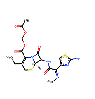 COCC1=C(C(=O)OCOC(=O)OCC(C)C)N2C(=O)C(NC(=O)/C(=N\OC)c3csc(N)n3)[C@H]2SC1